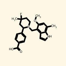 COc1cc(C)c2[nH]ccc2c1CN1CCC(C)(F)CC1c1ccc(C(=O)O)cc1